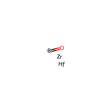 [Hf].[O]=[Bi].[Zr]